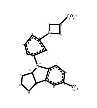 O=C(O)C1CN(c2cccc(N3c4ccc(C(F)(F)F)cc4C4CCCC43)c2)C1